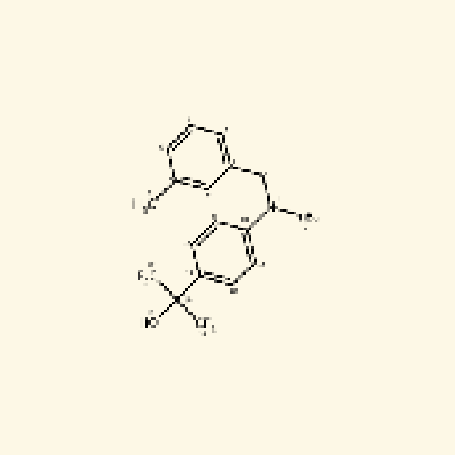 CCCCN(Cc1cccc(C)c1)c1ccc(C(O)(C(F)(F)F)C(F)(F)F)cc1